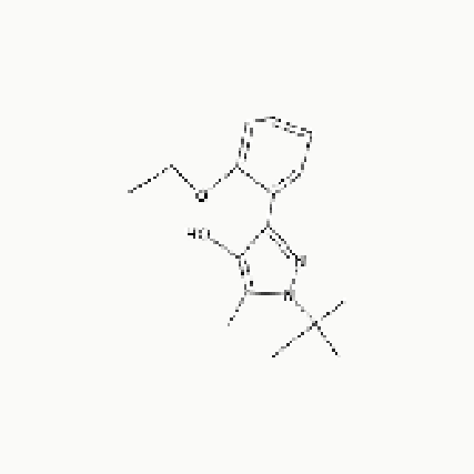 CCOc1ccccc1-c1nn(C(C)(C)C)c(C)c1O